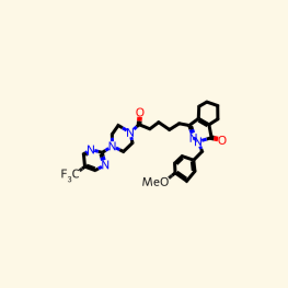 COc1ccc(Cn2nc(CCCCC(=O)N3CCN(c4ncc(C(F)(F)F)cn4)CC3)c3c(c2=O)CCCC3)cc1